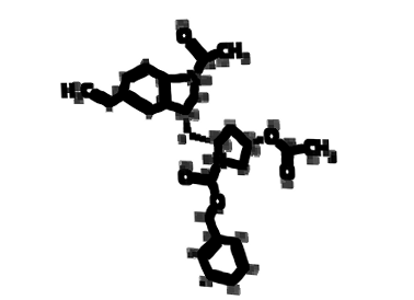 C=Cc1ccc2c(c1)[C@@H](C[C@@H]1C[C@H](OC(C)=O)CN1C(=O)OCc1ccccc1)CN2C(C)=O